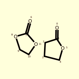 O=C1CCCO1.O=C1OCCO1